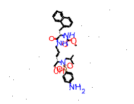 COC(=O)N[C@@H](Cc1cccc2ccccc12)C(=O)NCCC[C@@H](CO)N(CC(C)C)S(=O)(=O)c1ccc(N)cc1